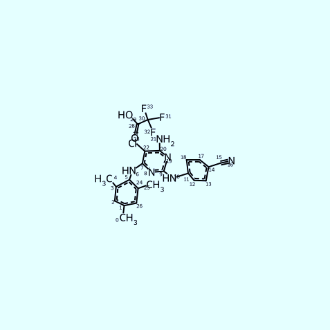 Cc1cc(C)c(Nc2nc(Nc3ccc(C#N)cc3)nc(N)c2Cl)c(C)c1.O=C(O)C(F)(F)F